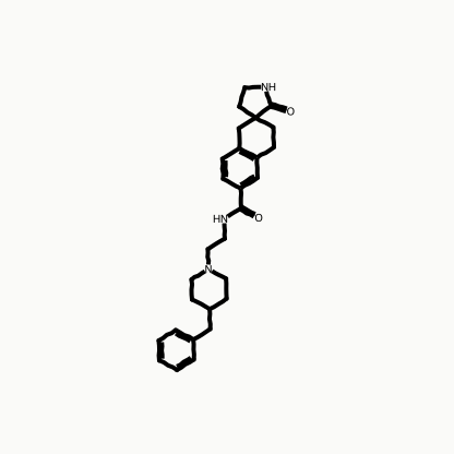 O=C(NCCN1CCC(Cc2ccccc2)CC1)c1ccc2c(c1)CCC1(CCNC1=O)C2